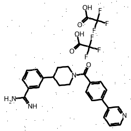 N=C(N)c1cccc(C2CCN(C(=O)c3ccc(-c4cccnc4)cc3)CC2)c1.O=C(O)C(F)(F)F.O=C(O)C(F)(F)F